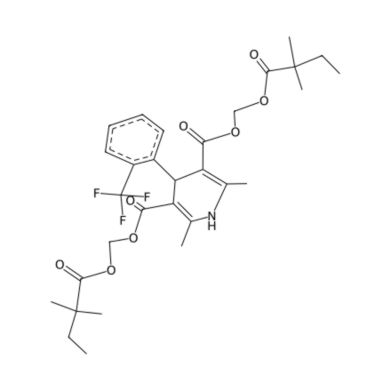 CCC(C)(C)C(=O)OCOC(=O)C1=C(C)NC(C)=C(C(=O)OCOC(=O)C(C)(C)CC)C1c1ccccc1C(F)(F)F